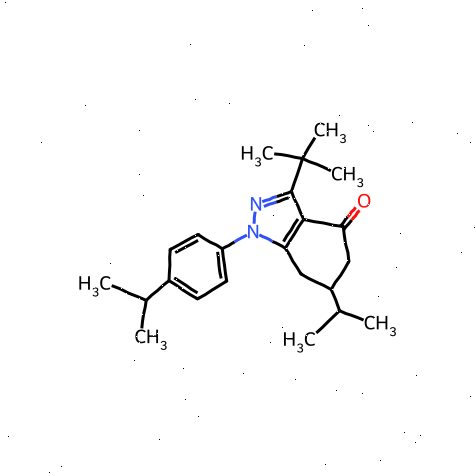 CC(C)c1ccc(-n2nc(C(C)(C)C)c3c2CC(C(C)C)CC3=O)cc1